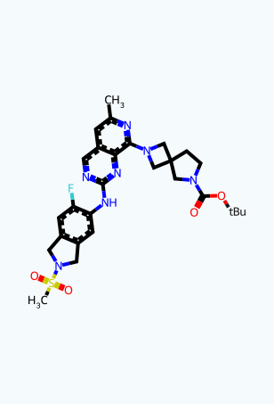 Cc1cc2cnc(Nc3cc4c(cc3F)CN(S(C)(=O)=O)C4)nc2c(N2CC3(CCN(C(=O)OC(C)(C)C)C3)C2)n1